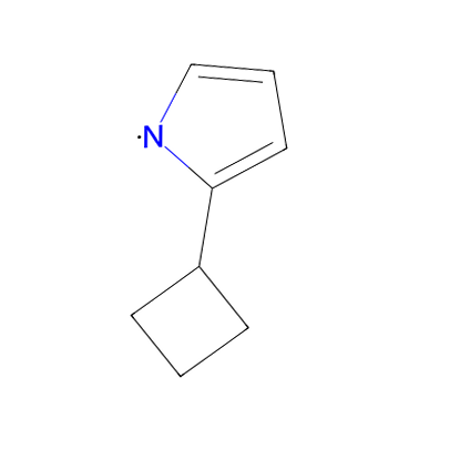 C1=C[N]C(C2CCC2)=C1